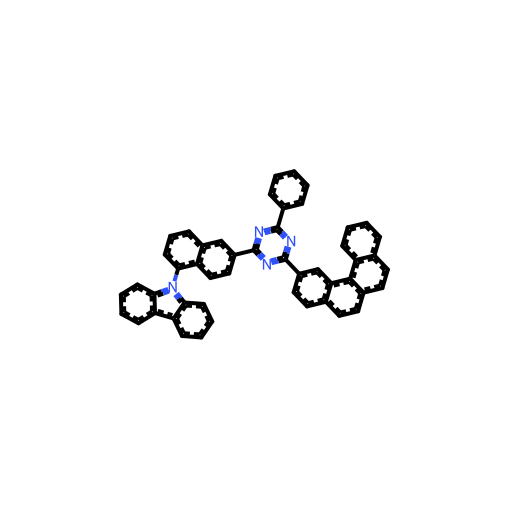 c1ccc(-c2nc(-c3ccc4c(-n5c6ccccc6c6ccccc65)cccc4c3)nc(-c3ccc4ccc5ccc6ccccc6c5c4c3)n2)cc1